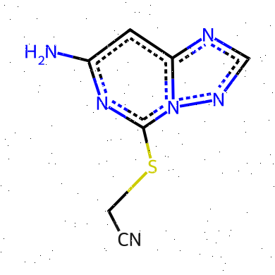 N#CCSc1nc(N)cc2ncnn12